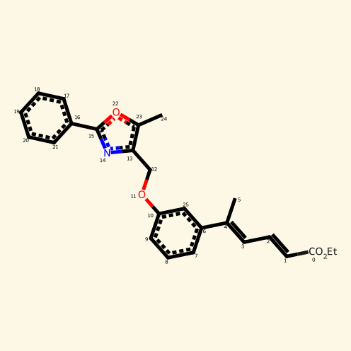 CCOC(=O)/C=C/C=C(\C)c1cccc(OCc2nc(-c3ccccc3)oc2C)c1